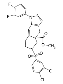 COC(=O)[C@]12Cc3cnn(-c4ccc(F)c(F)c4)c3C=C1CCN(S(=O)(=O)c1ccc(Cl)c(Cl)c1)C2